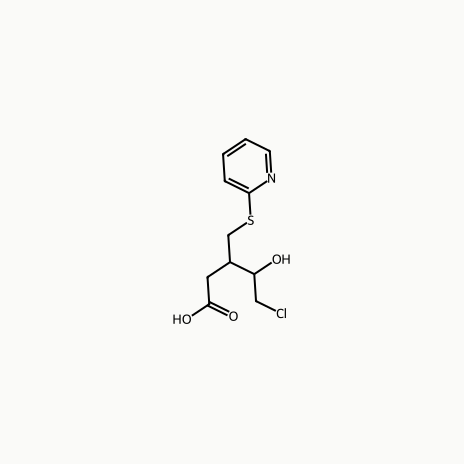 O=C(O)CC(CSc1ccccn1)C(O)CCl